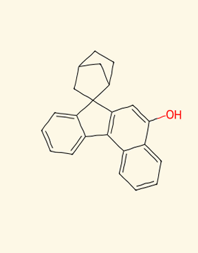 Oc1cc2c(c3ccccc13)-c1ccccc1C21CC2CCC1C2